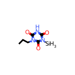 CCCn1c(=O)[nH]c(=O)n([SiH3])c1=O